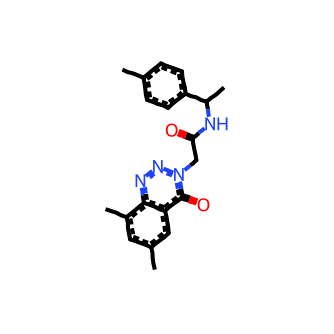 Cc1ccc(C(C)NC(=O)Cn2nnc3c(C)cc(C)cc3c2=O)cc1